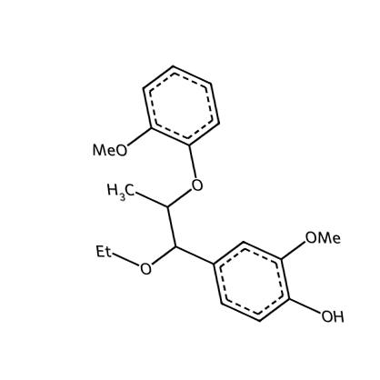 CCOC(c1ccc(O)c(OC)c1)C(C)Oc1ccccc1OC